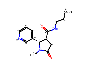 CN1C(=O)C[C@H](C(=O)NCCC(=O)O)[C@H]1c1cccnc1